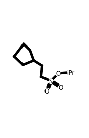 CC(C)OS(=O)(=O)CCC1CCCC1